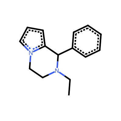 CCN1CCn2cccc2C1c1ccccc1